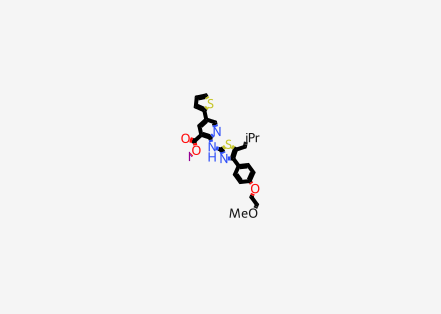 COCCOc1ccc(-c2nc(Nc3ncc(-c4cccs4)cc3C(=O)OI)sc2CC(C)C)cc1